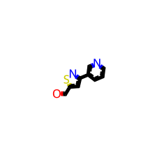 O=Cc1cc(-c2cccnc2)ns1